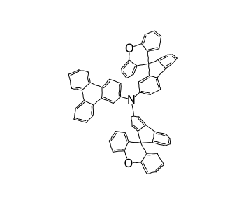 c1ccc2c(c1)Oc1ccccc1C21c2ccccc2-c2cc(N(c3ccc4c(c3)C3(c5ccccc5Oc5ccccc53)c3ccccc3-4)c3ccc4c5ccccc5c5ccccc5c4c3)ccc21